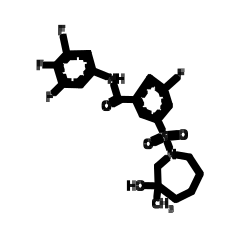 CC1(O)CCCCN(S(=O)(=O)c2cc(F)cc(C(=O)Nc3cc(F)c(F)c(F)c3)c2)C1